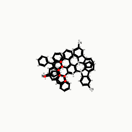 N#Cc1ccc2c(c1)c1ccccc1n2-c1nc(-n2c3ccccc3c3cc(C#N)ccc32)c(-n2c3ccccc3c3cc(C#N)ccc32)c(-c2ccccc2-c2cc(-c3ccccc3)nc(-c3ccccc3)c2)c1-n1c2ccccc2c2cc(C#N)ccc21